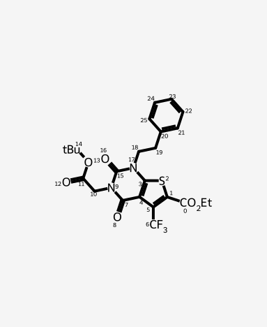 CCOC(=O)c1sc2c(c1C(F)(F)F)c(=O)n(CC(=O)OC(C)(C)C)c(=O)n2CCc1ccccc1